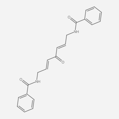 O=C(C=CCNC(=O)c1ccccc1)C=CCNC(=O)c1ccccc1